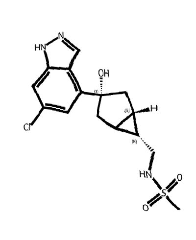 CS(=O)(=O)NC[C@@H]1C2C[C@@](O)(c3cc(Cl)cc4[nH]ncc34)C[C@@H]21